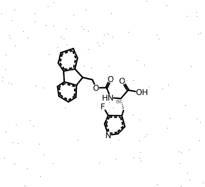 O=C(N[C@@H](Cc1ccncc1F)C(=O)O)OCC1c2ccccc2-c2ccccc21